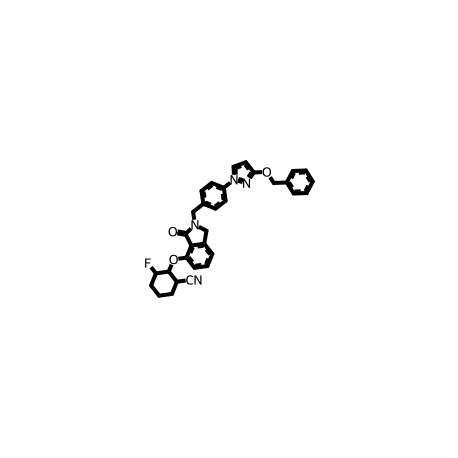 N#CC1CCCC(F)C1Oc1cccc2c1C(=O)N(Cc1ccc(-n3ccc(OCc4ccccc4)n3)cc1)C2